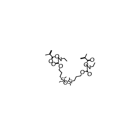 C=C(C)C(=O)ON(CC)C(=O)OCCC[Si](C)(C)O[Si](C)(C)CCCOC(=O)N(CC)OC(=O)C(=C)C